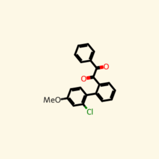 COc1ccc(-c2ccccc2C(=O)C(=O)c2ccccc2)c(Cl)c1